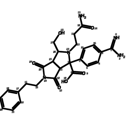 N=C(N)c1ccc(C2(C(=O)O)C3C(=O)N(CCc4ccccc4)C(=O)C3C(CO)N2CCC(N)=O)cc1